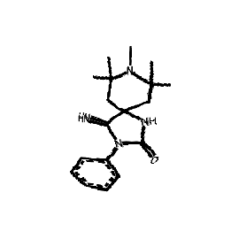 CN1C(C)(C)CC2(CC1(C)C)NC(=O)N(c1ccccc1)C2=N